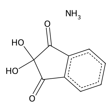 N.O=C1c2ccccc2C(=O)C1(O)O